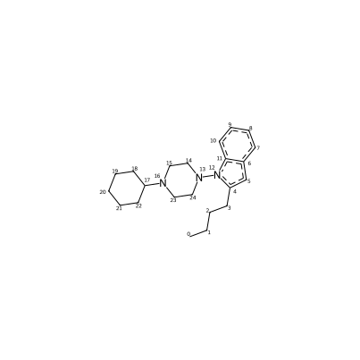 CCCCc1cc2ccccc2n1N1CCN(C2CCCCC2)CC1